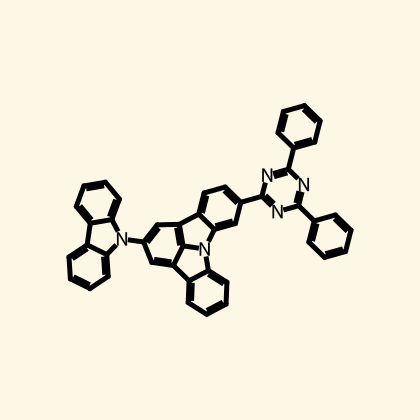 c1ccc(-c2nc(-c3ccccc3)nc(-c3ccc4c5cc(-n6c7ccccc7c7ccccc76)cc6c7ccccc7n(c4c3)c65)n2)cc1